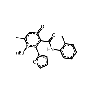 CCCCn1c(C)cc(=O)c(C(=O)Nc2ccccc2C)c1-c1ccco1